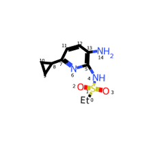 CCS(=O)(=O)Nc1nc(C2CC2)ccc1N